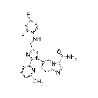 Cc1cccc(-c2nc(CNc3ccc(F)cc3F)cn2-c2ccc3ncc(C(N)=O)n3c2)n1